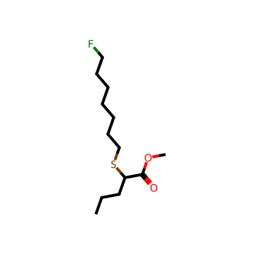 CCCC(SCCCCCCCF)C(=O)OC